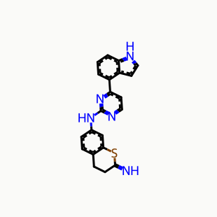 N=C1CCc2ccc(Nc3nccc(-c4cccc5[nH]ccc45)n3)cc2S1